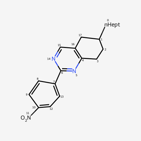 CCCCCCCC1CCc2nc(-c3ccc([N+](=O)[O-])cc3)ncc2C1